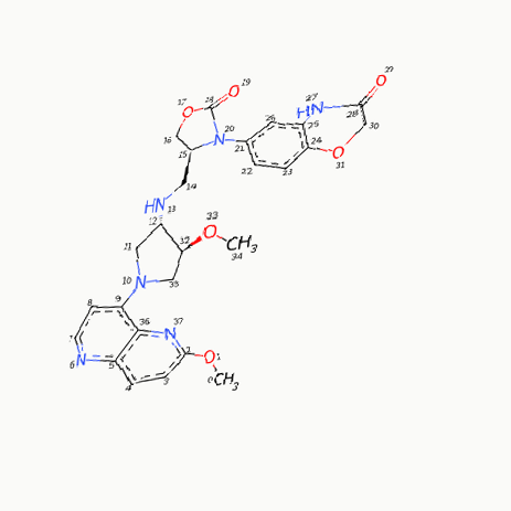 COc1ccc2nccc(N3C[C@H](NC[C@H]4COC(=O)N4c4ccc5c(c4)NC(=O)CO5)[C@@H](OC)C3)c2n1